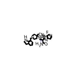 N#CCC1(N/C=C(\C(=N)Nc2ccnc(F)c2)C(N)=O)CCN(Cc2cccc3cc[nH]c23)CC1